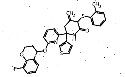 C=C1CC(c2ccsc2)(c2cccc(OC3CCOc4c(F)cccc43)n2)NC(=O)C1Sc1ccccc1C